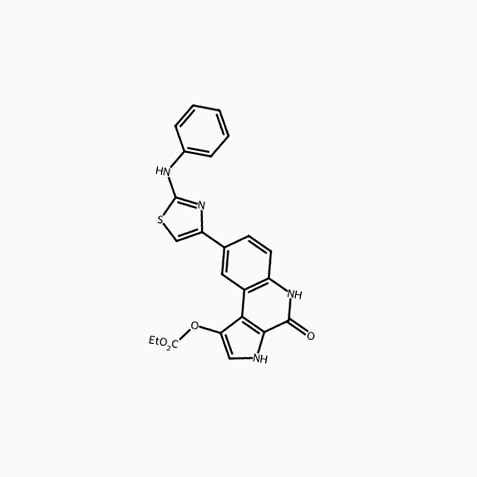 CCOC(=O)Oc1c[nH]c2c(=O)[nH]c3ccc(-c4csc(Nc5ccccc5)n4)cc3c12